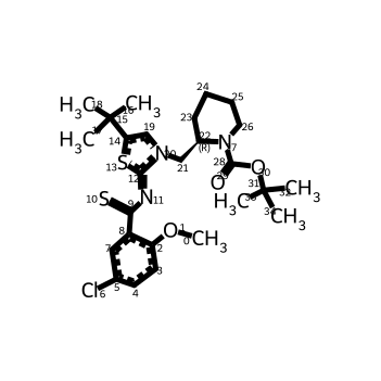 COc1ccc(Cl)cc1C(=S)N=c1sc(C(C)(C)C)cn1C[C@H]1CCCCN1C(=O)OC(C)(C)C